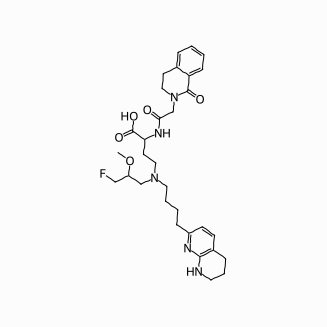 COC(CF)CN(CCCCc1ccc2c(n1)NCCC2)CCC(NC(=O)CN1CCc2ccccc2C1=O)C(=O)O